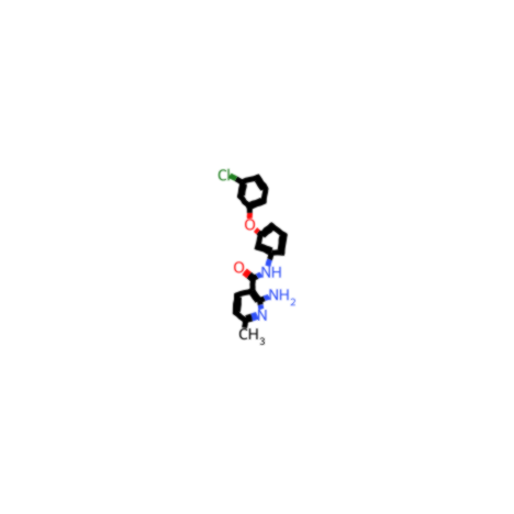 Cc1ccc(C(=O)Nc2cccc(Oc3cccc(Cl)c3)c2)c(N)n1